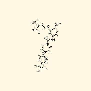 COc1ccc(NC(=O)N2CCN(c3ccc(C(F)(F)F)cn3)CC2)cc1OCCN(C(C)C)C(C)C